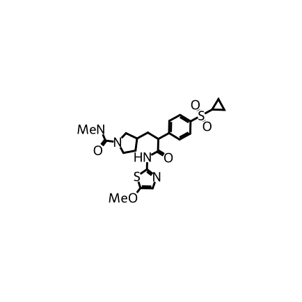 CNC(=O)N1CCC(CC(C(=O)Nc2ncc(OC)s2)c2ccc(S(=O)(=O)C3CC3)cc2)C1